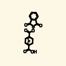 O=C1c2ccccc2C(=O)N1OC(=O)C12CCC(C(=O)O)(CC1)CC2